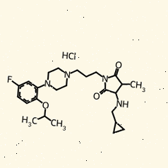 CC(C)Oc1ccc(F)cc1N1CCN(CCCN2C(=O)C(C)C(NCC3CC3)C2=O)CC1.Cl